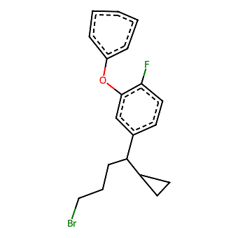 Fc1ccc(C(CCCBr)C2CC2)cc1Oc1ccccc1